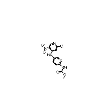 COC(=O)Nc1ccc(Nc2cc(Cl)ncc2[N+](=O)[O-])cn1